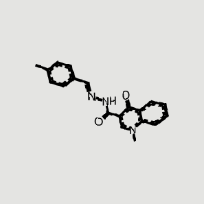 Cc1ccc(/C=N/NC(=O)c2cn(C)c3ccccc3c2=O)cc1